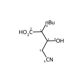 CCCCC(C(=O)O)C(O)CC#N